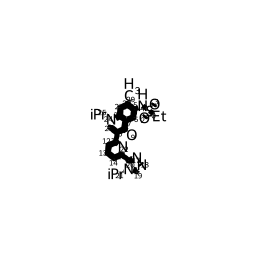 CCS(=O)(=O)Nc1cc2c(=O)c(-c3cccc(-c4nncn4C(C)C)n3)cn(C(C)C)c2cc1C